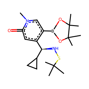 Cn1cc(B2OC(C)(C)C(C)(C)O2)c([C@@H](NSC(C)(C)C)C2CC2)cc1=O